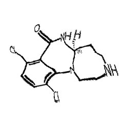 O=C1N[C@H]2CCNCCN2c2c(Cl)ccc(Cl)c21